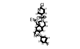 CCOCC12Cc3cnn(-c4ccc(F)cc4)c3C=C1CCN(S(=O)(=O)c1ccc(Cl)nc1)C2